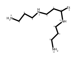 CCC(CCNCCCN)NCCCN